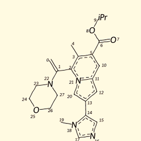 C=C(c1c(C)c(C(=O)OC(C)C)cc2cc(-c3cncn3C)cn12)N1CCOCC1